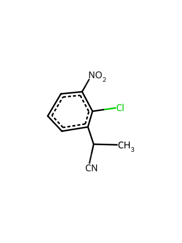 CC(C#N)c1cccc([N+](=O)[O-])c1Cl